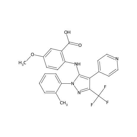 COc1ccc(Nc2c(-c3ccncc3)c(C(F)(F)F)nn2-c2ccccc2C)c(C(=O)O)c1